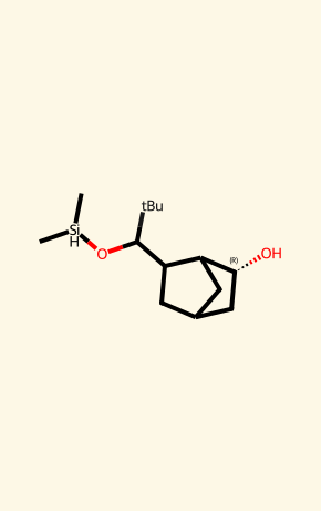 C[SiH](C)OC(C1CC2CC1[C@H](O)C2)C(C)(C)C